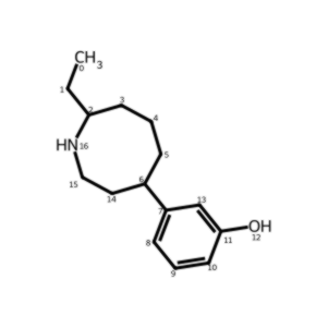 CCC1CCCC(c2cccc(O)c2)CCN1